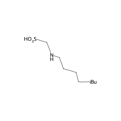 CCC(C)CCCCNCS(=O)(=O)O